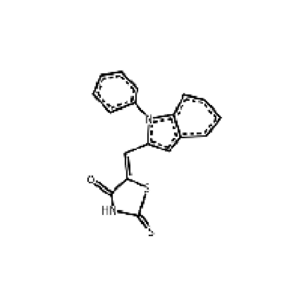 O=C1NC(=S)S/C1=C\c1cc2ccccc2n1-c1ccccc1